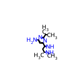 CN[C@H](C)CC(=N)c1cc(N)nc(C(C)C)n1